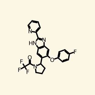 O=C(N1CCCC1c1cc2[nH]c(-c3ccccn3)nc2cc1Oc1ccc(F)cc1)C(F)(F)F